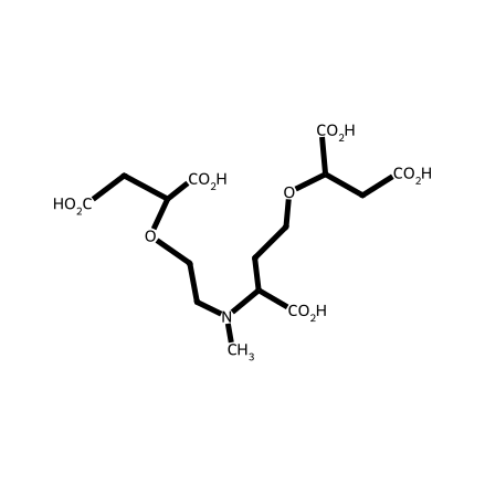 CN(CCOC(CC(=O)O)C(=O)O)C(CCOC(CC(=O)O)C(=O)O)C(=O)O